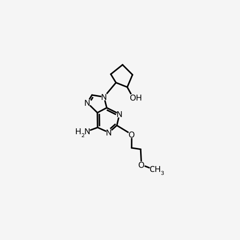 COCCOc1nc(N)c2ncn(C3CCCC3O)c2n1